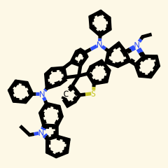 CCn1c2ccccc2c2ccc(N(c3ccccc3)c3ccc4c(c3)C3(c5ccccc5Sc5ccccc53)c3cc(N(c5ccccc5)c5ccc6c7ccccc7n(CC)c6c5)ccc3-4)cc21